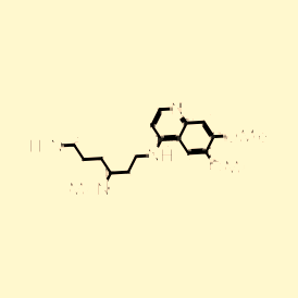 CNC(CCCN)CCNc1ccnc2cc(OC)c(OC)cc12